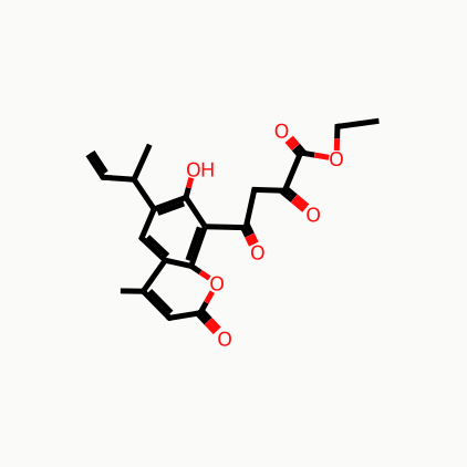 C=CC(C)c1cc2c(C)cc(=O)oc2c(C(=O)CC(=O)C(=O)OCC)c1O